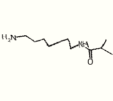 CC(C)C(=O)NCCCCCCN